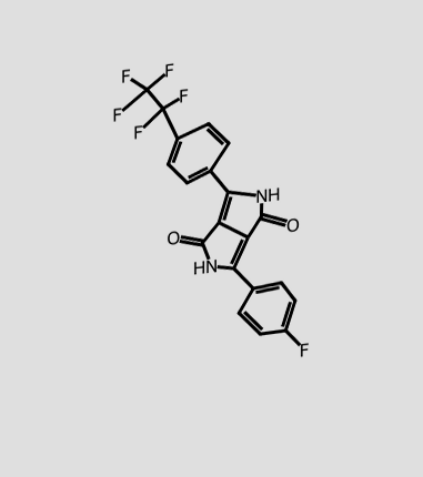 O=C1NC(c2ccc(C(F)(F)C(F)(F)F)cc2)=C2C(=O)NC(c3ccc(F)cc3)=C12